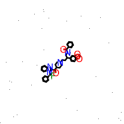 CN(CC(CCN1CCC(C(=O)c2nc3ccccc3n2C(F)c2ccccc2)CC1)c1ccc2c(c1)OCO2)C(=O)c1ccccc1